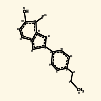 CCCc1ccc(-c2cc3ccc(O)c(F)c3s2)cc1